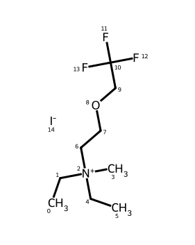 CC[N+](C)(CC)CCOCC(F)(F)F.[I-]